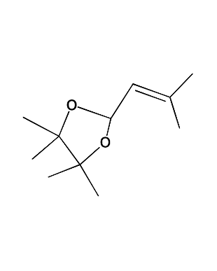 CC(C)=CC1OC(C)(C)C(C)(C)O1